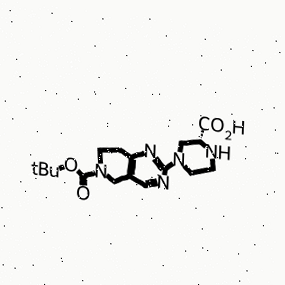 CC(C)(C)OC(=O)N1CCc2nc(N3CCN[C@@H](C(=O)O)C3)ncc2C1